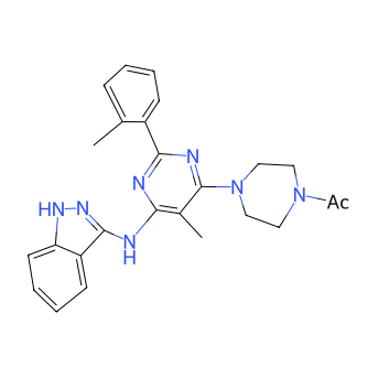 CC(=O)N1CCN(c2nc(-c3ccccc3C)nc(Nc3n[nH]c4ccccc34)c2C)CC1